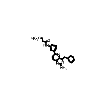 Nc1nc(Cc2ccccc2)c2nc(-c3cccc(NC(=O)CCC(=O)O)c3)ccc2n1